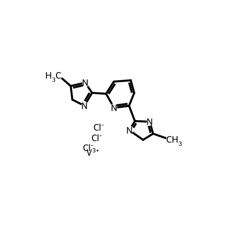 CC1=NC(c2cccc(C3=NCC(C)=N3)n2)=NC1.[Cl-].[Cl-].[Cl-].[V+3]